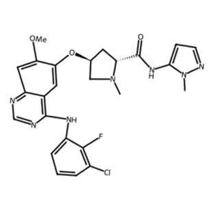 COc1cc2ncnc(Nc3cccc(Cl)c3F)c2cc1O[C@H]1C[C@H](C(=O)Nc2ccnn2C)N(C)C1